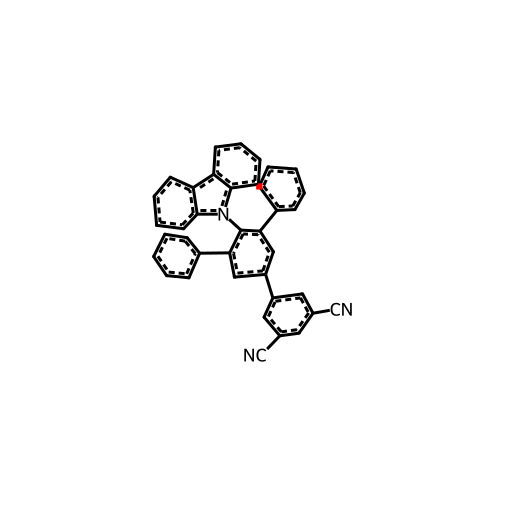 N#Cc1cc(C#N)cc(-c2cc(-c3ccccc3)c(-n3c4ccccc4c4ccccc43)c(-c3ccccc3)c2)c1